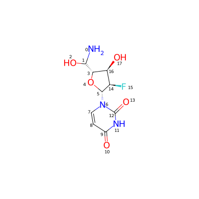 NC(O)[C@H]1O[C@@H](n2ccc(=O)[nH]c2=O)[C@H](F)[C@@H]1O